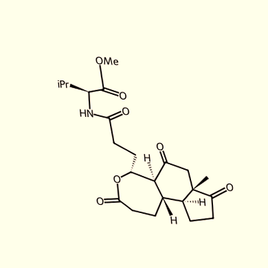 COC(=O)[C@@H](NC(=O)CC[C@H]1OC(=O)CC[C@@H]2[C@@H]1C(=O)C[C@]1(C)C(=O)CC[C@@H]21)C(C)C